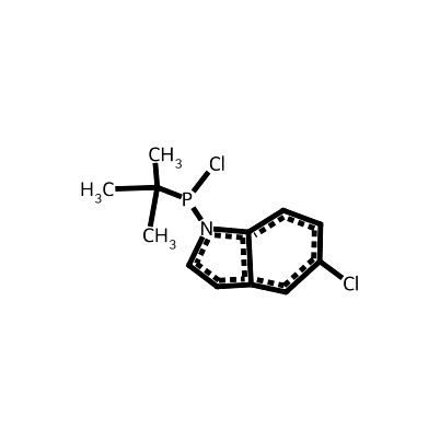 CC(C)(C)P(Cl)n1ccc2cc(Cl)ccc21